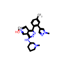 CN1CCC[C@@H](Nc2nnc(-c3ccc(C(F)(F)F)cc3-c3cnn(C)c3)c3ccncc23)C1.O=CO